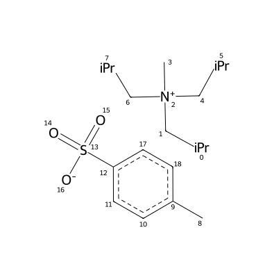 CC(C)C[N+](C)(CC(C)C)CC(C)C.Cc1ccc(S(=O)(=O)[O-])cc1